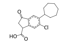 O=C1CC(C(=O)O)c2cc(Cl)c(C3CCCCCC3)cc21